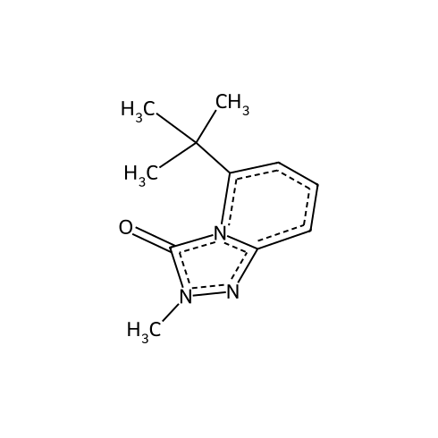 Cn1nc2cccc(C(C)(C)C)n2c1=O